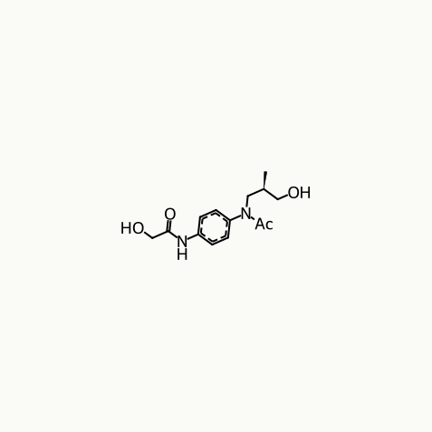 CC(=O)N(C[C@@H](C)CO)c1ccc(NC(=O)CO)cc1